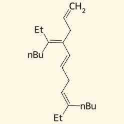 C=CCC(C=CCC=C(CC)CCCC)=C(CC)CCCC